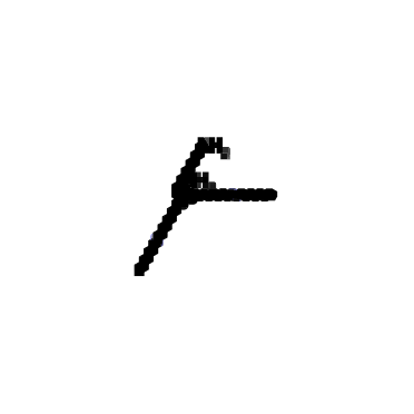 CCCCCCCC/C=C/CCCCCCCCOc1ccc(CC(N)CCCCCCCN)cc1OCCCCCCCC/C=C/CCCCCCCC